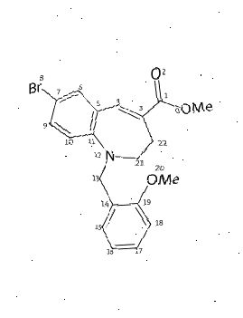 COC(=O)C1=Cc2cc(Br)ccc2N(Cc2ccccc2OC)CC1